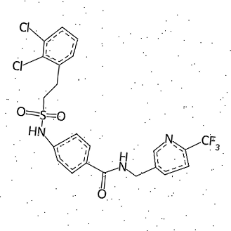 O=C(NCc1ccc(C(F)(F)F)nc1)c1ccc(NS(=O)(=O)CCc2cccc(Cl)c2Cl)cc1